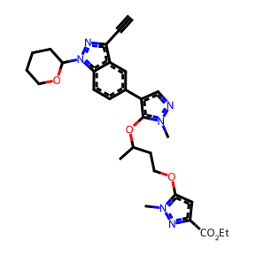 C#Cc1nn(C2CCCCO2)c2ccc(-c3cnn(C)c3OC(C)CCOc3cc(C(=O)OCC)nn3C)cc12